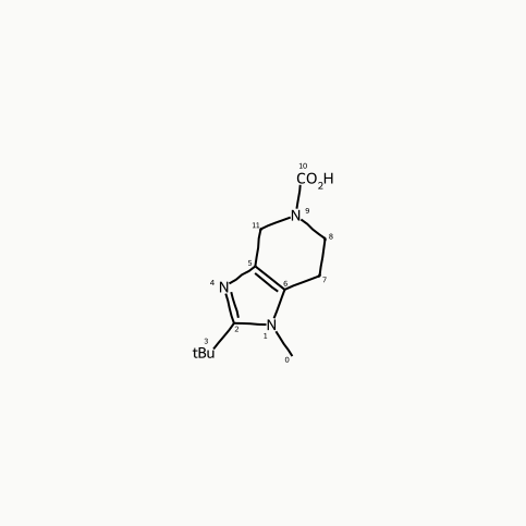 Cn1c(C(C)(C)C)nc2c1CCN(C(=O)O)C2